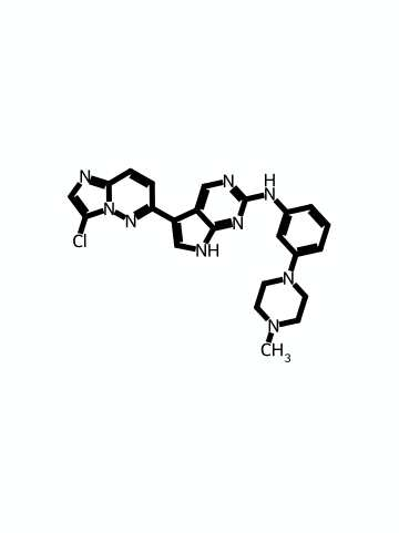 CN1CCN(c2cccc(Nc3ncc4c(-c5ccc6ncc(Cl)n6n5)c[nH]c4n3)c2)CC1